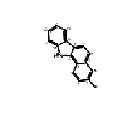 Cc1ccc2c(ccc3c4ccccc4[nH]c23)c1